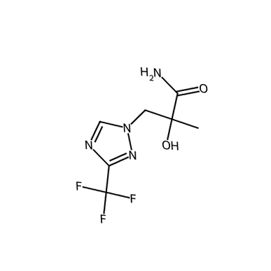 CC(O)(Cn1cnc(C(F)(F)F)n1)C(N)=O